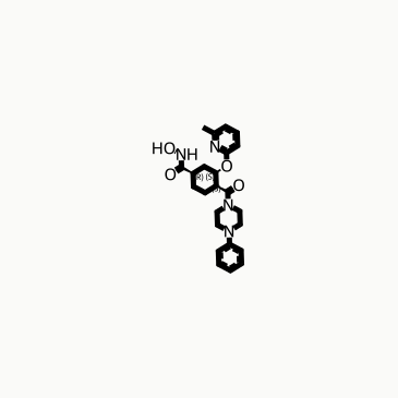 Cc1cccc(O[C@H]2C[C@H](C(=O)NO)CC[C@@H]2C(=O)N2CCN(c3ccccc3)CC2)n1